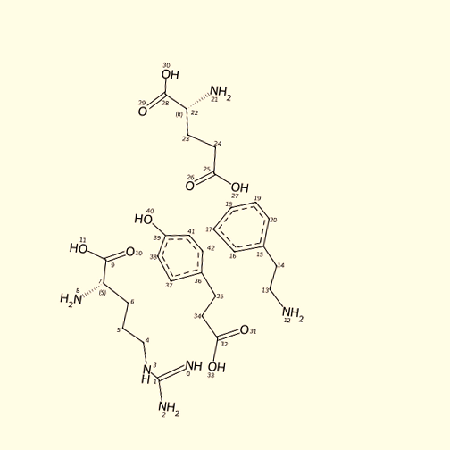 N=C(N)NCCC[C@H](N)C(=O)O.NCCc1ccccc1.N[C@H](CCC(=O)O)C(=O)O.O=C(O)CCc1ccc(O)cc1